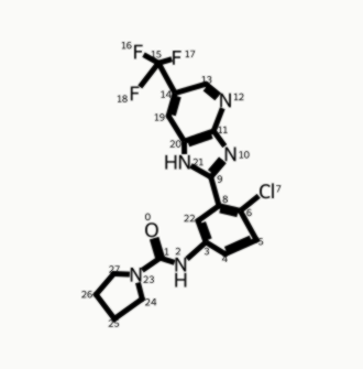 O=C(Nc1ccc(Cl)c(-c2nc3ncc(C(F)(F)F)cc3[nH]2)c1)N1CCCC1